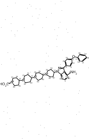 Nc1ncnc2c1c(-c1ccc(Oc3ccccc3)cc1)nn2C1CCN(C2CCN(C3CCN(C4CCN(C(=O)O)CC4)CC3)CC2)CC1